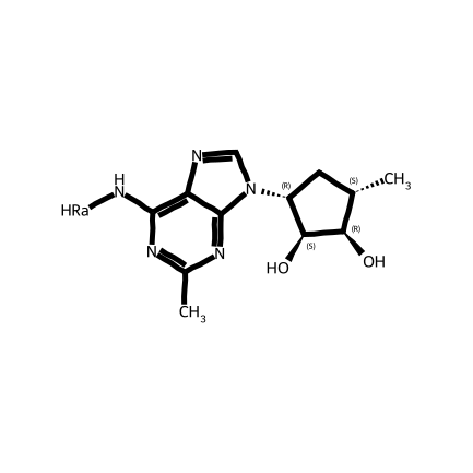 Cc1nc([NH][RaH])c2ncn([C@@H]3C[C@H](C)[C@@H](O)[C@H]3O)c2n1